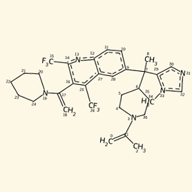 C=C(C)N1CCC(C(C)(c2ccc3nc(C(F)(F)F)c(C(=C)N4CCCCC4)c(C(F)(F)F)c3c2)c2cncn2C)CC1